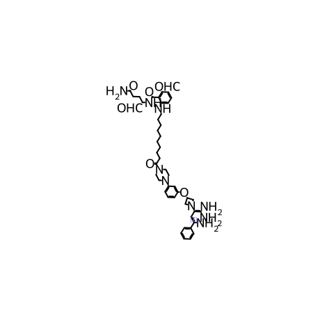 NC(=O)CCC(C=O)NC(=O)c1c(C=O)cccc1NCCCCCCCCCC(=O)N1CCN(c2cccc(OC3CN(C(/C=C(\N)c4ccccc4)=C(N)N)C3)c2)CC1